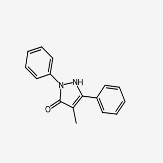 Cc1c(-c2ccccc2)[nH]n(-c2ccccc2)c1=O